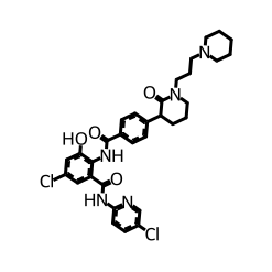 O=C(Nc1c(O)cc(Cl)cc1C(=O)Nc1ccc(Cl)cn1)c1ccc(C2CCCN(CCCN3CCCCC3)C2=O)cc1